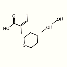 C1CCSCC1.CC=C(C)C(=O)O.CO.CO